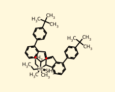 C[CH2][Hf]([CH3])([CH3])(=[SiH2])([CH2]C)([CH]1C=Cc2c(-c3ccc(C(C)(C)C)cc3)cccc21)[CH]1C=Cc2c(-c3ccc(C(C)(C)C)cc3)cccc21